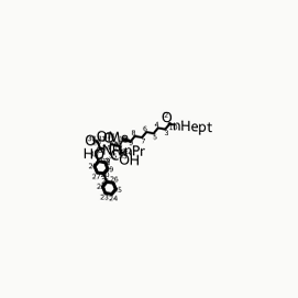 CCCCCCCC(=O)CCCCCCC=C[C@H](C(=O)N[C@@H](Cc1ccc(-c2ccccc2)cc1)C(=O)OC)[C@@](O)(CCC)C(=O)O